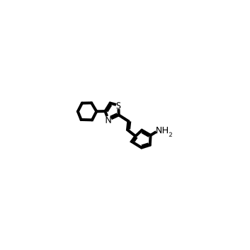 Nc1cccc(/C=C/c2nc(C3CCCCC3)cs2)c1